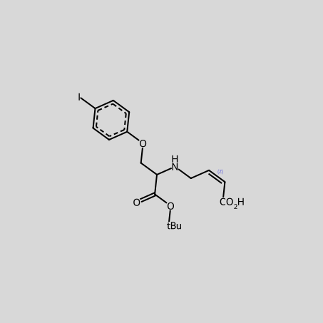 CC(C)(C)OC(=O)C(COc1ccc(I)cc1)NC/C=C\C(=O)O